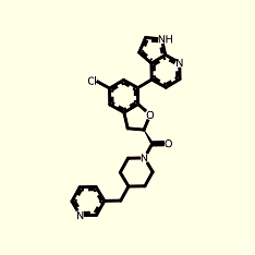 O=C([C@H]1Cc2cc(Cl)cc(-c3ccnc4[nH]ccc34)c2O1)N1CCC(Cc2cccnc2)CC1